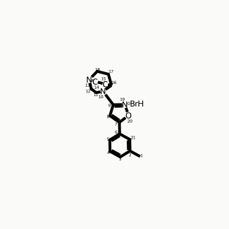 Br.Cc1cccc(-c2cc(N3CCN4CCC3CC4)no2)c1